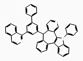 c1ccc(-c2cc(-c3nccc4ccccc34)cc(C3c4ccccc4-c4c(n(-c5ccccc5)c5ccccc45)-c4cnccc43)c2)cc1